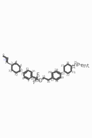 C/C=C/[C@H]1CC[C@H](c2ccc(C(F)(F)OCCc3ccc([C@H]4CC[C@H](CCCCC)CC4)cc3)cc2)CC1